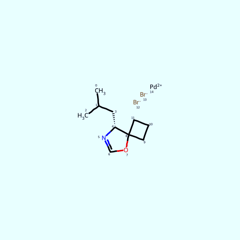 CC(C)C[C@H]1N=COC12CCC2.[Br-].[Br-].[Pd+2]